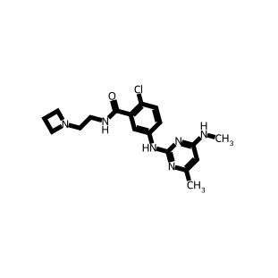 CNc1cc(C)nc(Nc2ccc(Cl)c(C(=O)NCCN3CCC3)c2)n1